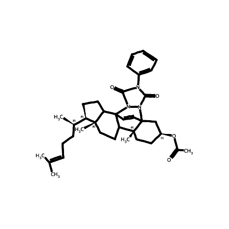 CC(=O)O[C@H]1CC[C@]2(C)C3CC[C@@]4(C)C(CC[C@@H]4[C@H](C)CCC=C(C)C)C34C=CC2(C1)n1c(=O)n(-c2ccccc2)c(=O)n14